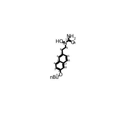 CCCCOc1ccc2cc(CCN(O)C(N)=O)ccc2c1